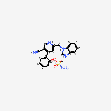 N#Cc1cnc(Cn2cnc3ccccc32)cc1-c1ccccc1OS(N)(=O)=O